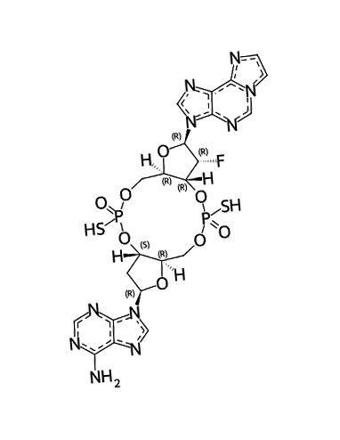 Nc1ncnc2c1ncn2[C@H]1C[C@@H]2OP(=O)(S)OC[C@H]3O[C@@H](n4cnc5c4ncn4ccnc54)[C@H](F)[C@@H]3OP(=O)(S)OC[C@H]2O1